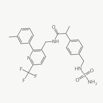 Cc1cccc(-c2nc(C(F)(F)F)ccc2CNC(=O)C(C)c2ccc(CNS(N)(=O)=O)cc2)c1